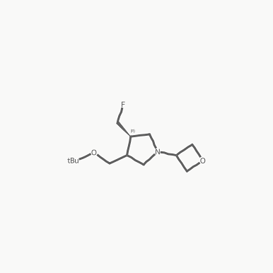 CC(C)(C)OCC1CN(C2COC2)C[C@@H]1CF